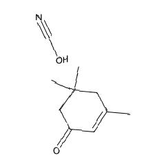 CC1=CC(=O)CC(C)(C)C1.N#CO